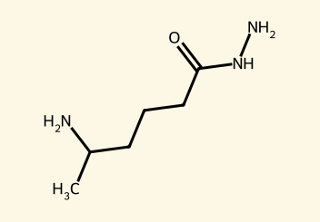 CC(N)CCCC(=O)NN